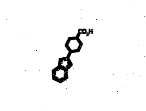 O=C(O)C1CCC(c2cc3ccccn3c2)CC1